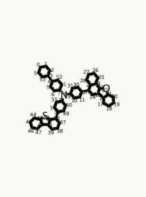 c1ccc(-c2ccc(N(c3ccc(-c4cc5c6ccccc6oc5c5ccccc45)cc3)c3ccc(-c4cccc5c4sc4ccccc45)cc3)cc2)cc1